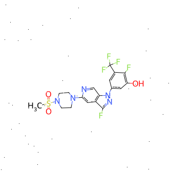 CS(=O)(=O)N1CCN(c2cc3c(F)nn(-c4cc(O)c(F)c(C(F)(F)F)c4)c3cn2)CC1